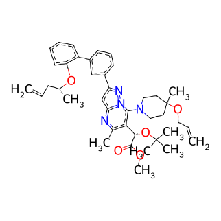 C=CCOC1(C)CCN(c2c([C@H](OC(C)(C)C)C(=O)OC)c(C)nc3cc(-c4cccc(-c5ccccc5O[C@H](C)CC=C)c4)nn23)CC1